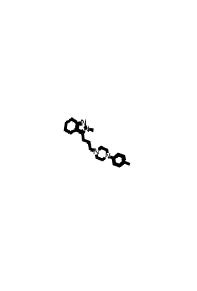 Cc1ccc(N2CCN(CCCc3c4c(nn3C)CCCC4)CC2)cc1